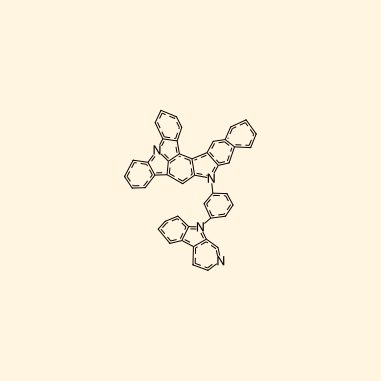 c1cc(-n2c3ccccc3c3ccncc32)cc(-n2c3cc4ccccc4cc3c3c4c5ccccc5n5c6ccccc6c(cc32)c45)c1